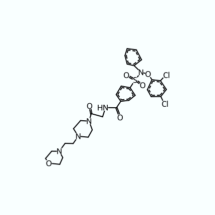 O=C(NCC(=O)N1CCN(CCN2CCOCC2)CC1)c1ccc(S(=O)(=O)N(Oc2ccc(Cl)cc2Cl)c2ccccc2)cc1